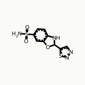 NS(=O)(=O)c1ccc2c(c1)OC(c1cnns1)N2